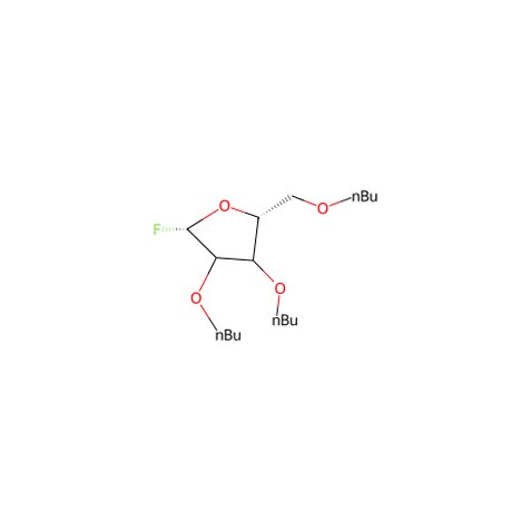 CCCCOC[C@H]1O[C@@H](F)C(OCCCC)C1OCCCC